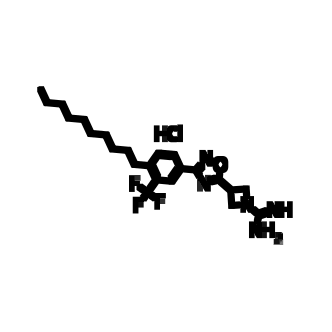 CCCCCCCCCCc1ccc(-c2noc(C3CN(C(=N)N)C3)n2)cc1C(F)(F)F.Cl